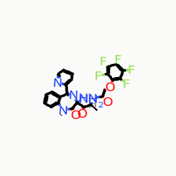 C[C@H](NC(=O)COc1c(F)c(F)c(F)c(F)c1F)C(=O)C1(N)N=C(c2ccccn2)c2ccccc2N(C)C1=O